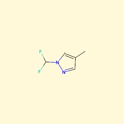 Cc1[c]n(C(F)F)nc1